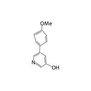 COc1ccc(-c2cncc(O)c2)cc1